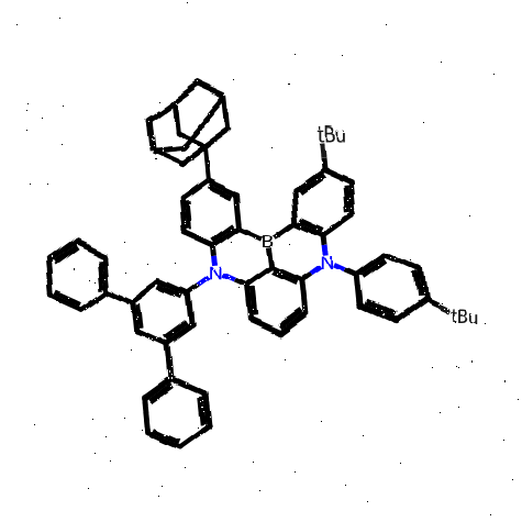 CC(C)(C)c1ccc(N2c3ccc(C(C)(C)C)cc3B3c4cc(C56CC7CC(CC(C7)C5)C6)ccc4N(c4cc(-c5ccccc5)cc(-c5ccccc5)c4)c4cccc2c43)cc1